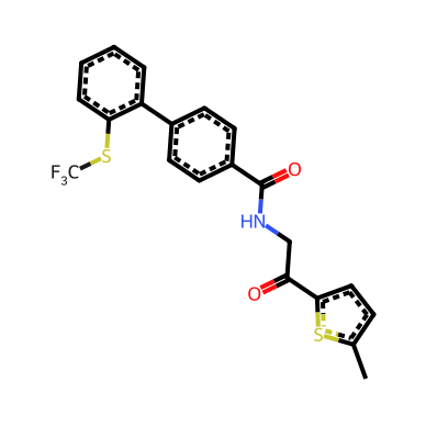 Cc1ccc(C(=O)CNC(=O)c2ccc(-c3ccccc3SC(F)(F)F)cc2)s1